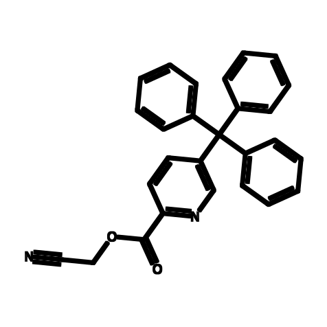 N#CCOC(=O)c1ccc(C(c2ccccc2)(c2ccccc2)c2ccccc2)cn1